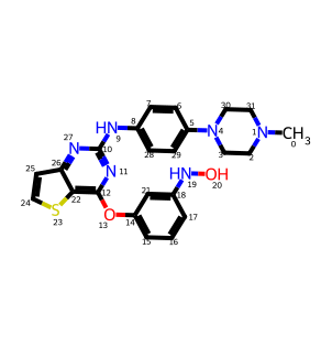 CN1CCN(c2ccc(Nc3nc(Oc4cccc(NO)c4)c4sccc4n3)cc2)CC1